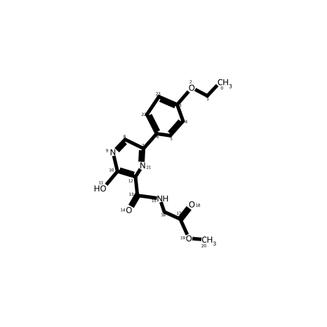 CCOc1ccc(-c2cnc(O)c(C(=O)NCC(=O)OC)n2)cc1